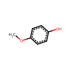 [CH2]Oc1ccc(O)cc1